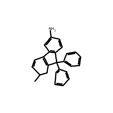 CC1C=CC2=C(C1)C(c1ccccc1)(c1ccccc1)c1ccc(N)cc12